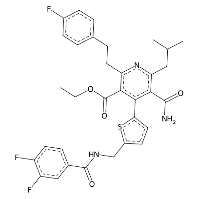 CCOC(=O)c1c(CCc2ccc(F)cc2)nc(CC(C)C)c(C(N)=O)c1-c1ccc(CNC(=O)c2ccc(F)c(F)c2)s1